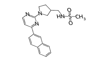 CS(=O)(=O)NCC1CCN(c2nccc(-c3ccc4ccccc4c3)n2)C1